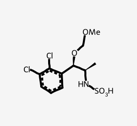 COCO[C@H](c1cccc(Cl)c1Cl)[C@@H](C)NS(=O)(=O)O